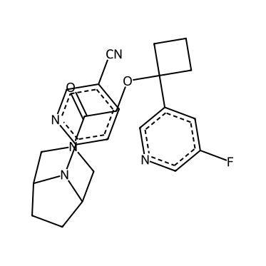 N#Cc1ccc(N2C3CCC2CN(C(=O)COC2(c4cncc(F)c4)CCC2)C3)nc1